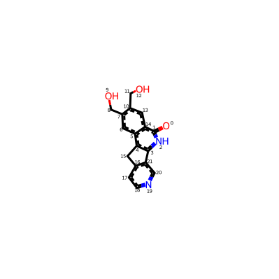 O=c1[nH]c2c(c3cc(CO)c(CO)cc13)Cc1ccncc1-2